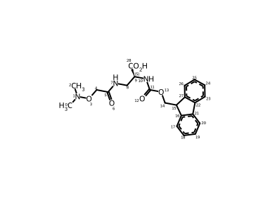 CN(C)OCC(=O)NC[C@H](NC(=O)OCC1c2ccccc2-c2ccccc21)C(=O)O